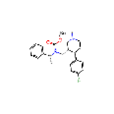 C[C@H](c1ccccc1)N(C[C@@H]1CN(C)CC[C@H]1c1ccc(F)cc1)C(=O)OC(C)(C)C